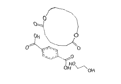 O=C(O)c1ccc(C(=O)O)cc1.O=C1CCCCC(=O)OCCCCCCO1.OCCO